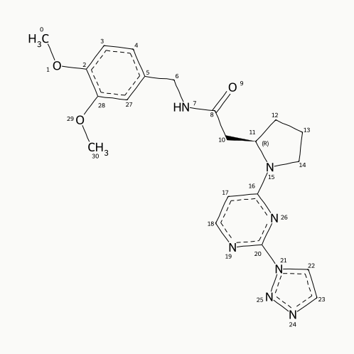 COc1ccc(CNC(=O)C[C@H]2CCCN2c2ccnc(-n3ccnn3)n2)cc1OC